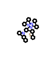 c1ccc(-c2ccccc2-c2nc(-c3ccccc3-c3ccccc3)nc(-c3ccc(-n4c5ccccc5c5cc6ccccc6cc54)cc3-c3cccc4c3sc3ccccc34)n2)cc1